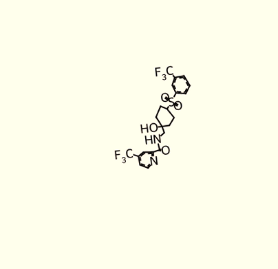 O=C(NCC1(O)CCC(S(=O)(=O)c2cccc(C(F)(F)F)c2)CC1)c1cc(C(F)(F)F)ccn1